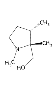 C[C@H]1CCN(C)[C@@]1(C)CO